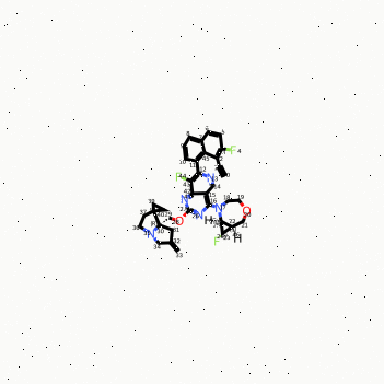 C#Cc1c(F)ccc2cccc(-c3ncc4c(N5CCOC[C@H]6[C@H](F)[C@H]65)nc(OC[C@]56CC(=C)CN5CCC65CC5)nc4c3F)c12